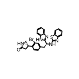 O=C1CC(c2ccc(C[C@H](Nc3nc4ccccc4s3)c3nc4ccccc4[nH]3)cc2Br)SN1